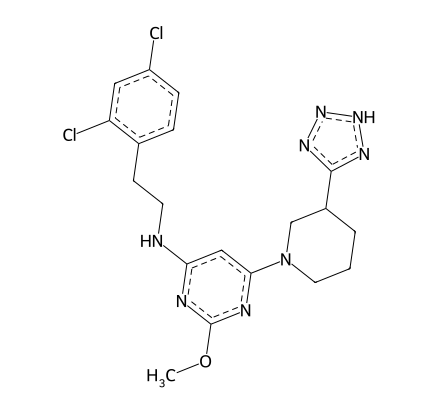 COc1nc(NCCc2ccc(Cl)cc2Cl)cc(N2CCCC(c3nn[nH]n3)C2)n1